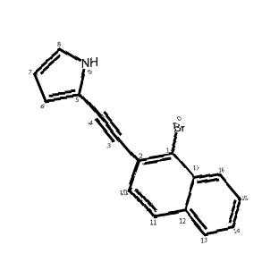 Brc1c(C#Cc2ccc[nH]2)ccc2ccccc12